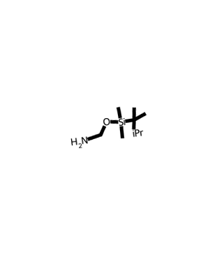 CC(C)C(C)(C)[Si](C)(C)OCN